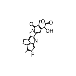 Cc1c(F)cc2nc3c(c4c2c1CC4)Cn1c-3cc2c(c1=O)COC(=O)C2O